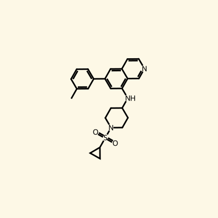 Cc1cccc(-c2cc(NC3CCN(S(=O)(=O)C4CC4)CC3)c3cnccc3c2)c1